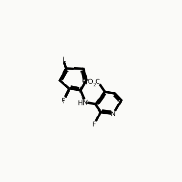 O=C(O)c1ccnc(F)c1Nc1ccc(I)cc1F